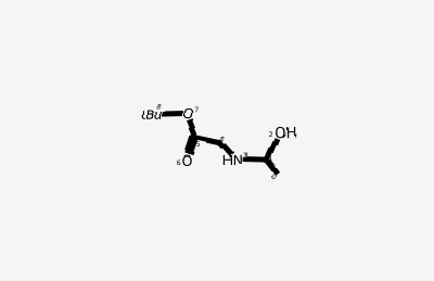 CC(O)NCC(=O)OC(C)(C)C